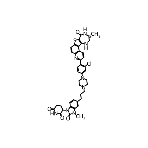 C[C@@H]1CNc2c(sc3ccc4nc(-c5ccc(N6CCN(CCCc7ccc8c(c7)n(C)c(=O)n8C7CCC(=O)NC7=O)CC6)cc5Cl)ccc4c23)C(=O)N1